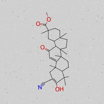 COC(=O)C1(C)CCC2(C)CCC3(C)C(C(=O)C=C4C5(C)CC(C#N)=C(O)C(C)(C)C5CCC43C)C2C1